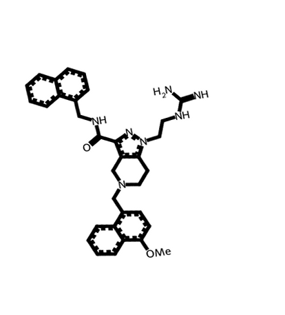 COc1ccc(CN2CCc3c(c(C(=O)NCc4cccc5ccccc45)nn3CCNC(=N)N)C2)c2ccccc12